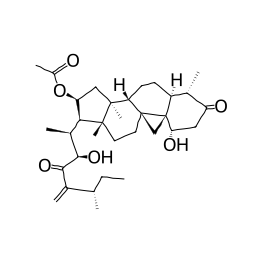 C=C(C(=O)[C@H](O)[C@@H](C)[C@H]1[C@@H](OC(C)=O)C[C@@]2(C)[C@@H]3CC[C@H]4[C@H](C)C(=O)C[C@H](O)[C@@]45C[C@@]35CC[C@]12C)[C@@H](C)CC